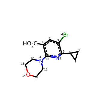 O=C(O)c1cc(Br)c(C2CC2)nc1N1CCOCC1